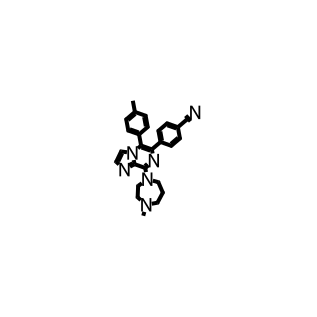 Cc1ccc(-c2c(-c3ccc(C#N)cc3)nc(N3CCCN(C)CC3)c3nccn23)cc1